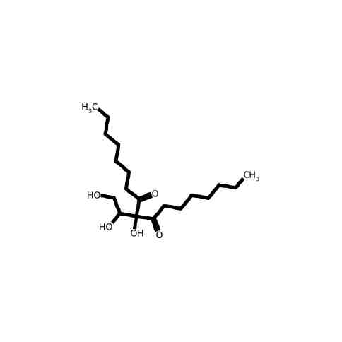 CCCCCCCC(=O)C(O)(C(=O)CCCCCCC)C(O)CO